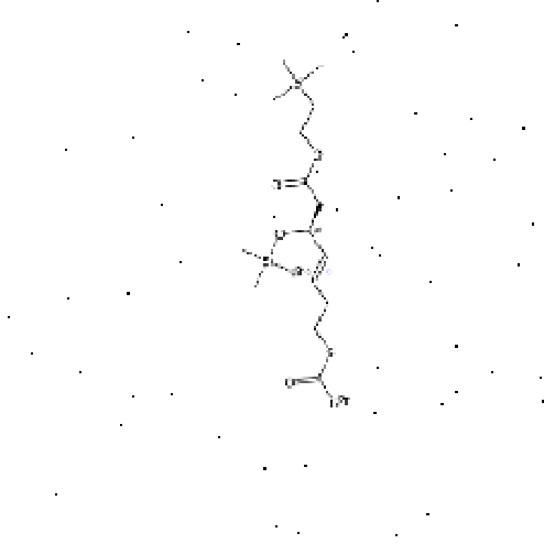 CCCC(=O)SCC/C=C/[C@H](CC(=O)OCC[Si](C)(C)C)O[Si](C)(C)C(C)(C)C